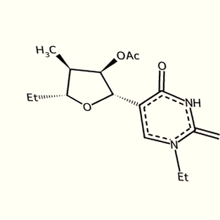 CC[C@H]1O[C@@H](c2cn(CC)c(=O)[nH]c2=O)[C@H](OC(C)=O)[C@@H]1C